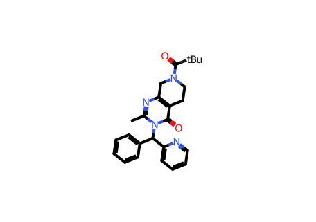 Cc1nc2c(c(=O)n1C(c1ccccc1)c1ccccn1)CCN(C(=O)C(C)(C)C)C2